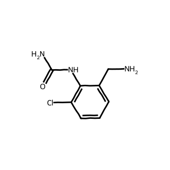 NCc1cccc(Cl)c1NC(N)=O